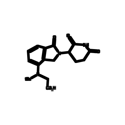 CC(C)(C)N(CC(=O)O)c1cccc2c1CN(C1CCC(=O)NC1=O)C2=O